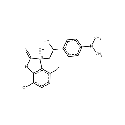 CN(C)c1ccc(C(O)C[C@]2(O)C(=O)Nc3c(Cl)ccc(Cl)c32)cc1